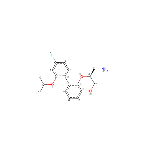 CC(C)Oc1cc(F)ccc1-c1cccc2c1O[C@@H](CN)CO2